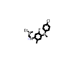 CCN(C)/C=N\c1cc(F)c(N(C)c2ccc(Cl)cc2)cc1C